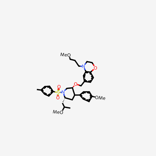 COCCCN1CCOc2ccc(CO[C@@H]3CN(S(=O)(=O)c4ccc(C)cc4)[C@@H](CC(C)OC)CC3c3ccc(OC)cc3)cc21